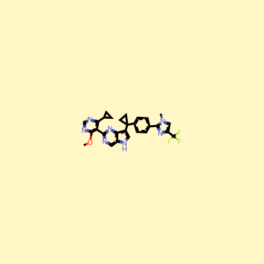 COc1ncnc(C2CC2)c1-c1ncc2[nH]cc(C3(c4ccc(-c5nc(C(F)(F)F)cn5C)cc4)CC3)c2n1